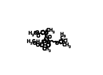 COCOc1cc(C)c(-c2c(Cl)ccc3c(CCCOc4cc(C)c(Cl)c(C)c4)c4n(c23)[C@H](C)CN(c2cn(C)c3ccc(C(=O)OC)cc23)C4=O)c(C)c1